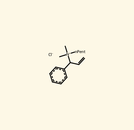 C=CC(c1ccccc1)[N+](C)(C)CCCCC.[Cl-]